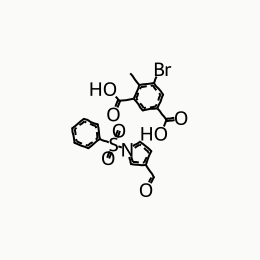 Cc1c(Br)cc(C(=O)O)cc1C(=O)O.O=Cc1ccn(S(=O)(=O)c2ccccc2)c1